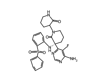 Nc1ncnc([C@]2(Nc3ccccc3S(=O)(=O)c3ccccc3)CCCN(C3CCCNC3=O)C2=O)c1F